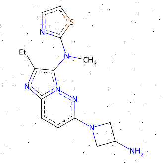 CCc1nc2ccc(N3CC(N)C3)nn2c1N(C)c1nccs1